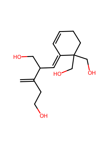 C=C(CCO)C(C=C1C=CCCC1(CO)CO)CO